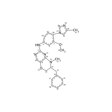 COc1cc(Nc2ncc3c(n2)N(C)C(Cc2ccccc2)CO3)ccc1-n1cnc(C)c1